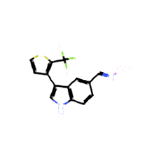 ON=Cc1ccc2[nH]cc(-c3ccsc3C(F)(F)F)c2c1